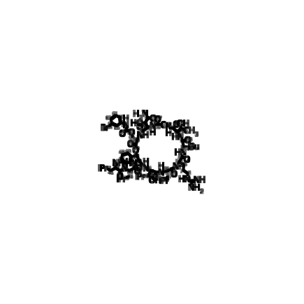 CC[C@H](C)[C@@H]1NC(=O)[C@@H](CCCNC(=N)N)NC(=O)[C@H](CC(C)C)NC(=O)[C@H]([C@H](O)C(C)C)NC(=O)[C@@H](NC(=O)[C@H](CC(C)C)NC(=O)[C@H](N)CC(C)C)[C@@H](c2ccccc2)OC(=O)[C@H](COC(=O)Nc2cccc(Br)c2)NC(=O)[C@H]([C@H](O)C(N)=O)NC(=O)CNC(=O)[C@H]([C@H](C)O)NC1=O